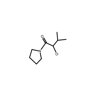 CC(C)C([O])C(=O)N1CCCC1